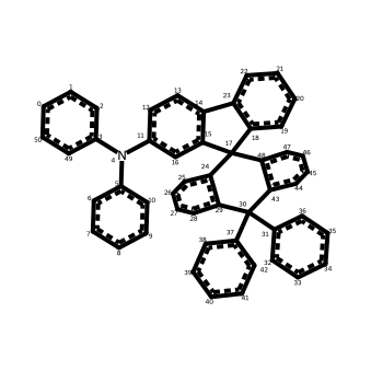 c1ccc(N(c2ccccc2)c2ccc3c(c2)C2(c4ccccc4-3)c3ccccc3C(c3ccccc3)(c3ccccc3)c3ccccc32)cc1